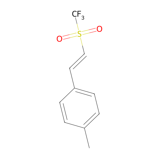 Cc1ccc(C=CS(=O)(=O)C(F)(F)F)cc1